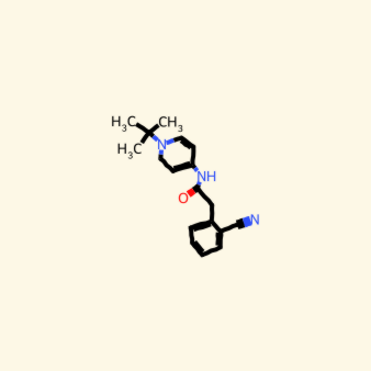 CC(C)(C)N1C=CC(NC(=O)Cc2ccccc2C#N)=CC1